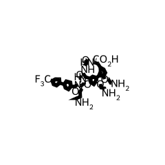 C[C@H]1NC(=O)[C@@H](N(C)C(=O)[C@@H](CCCCN)NC(=O)c2ccc(-c3ccc(C(F)(F)F)cc3)cc2)c2ccc(OCCN)c(c2)-c2cc(ccc2OCCN)C[C@@H](C(=O)O)NC1=O